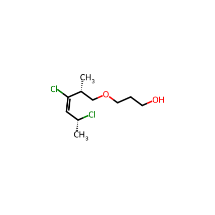 C[C@H](COCCCO)/C(Cl)=C\[C@@H](C)Cl